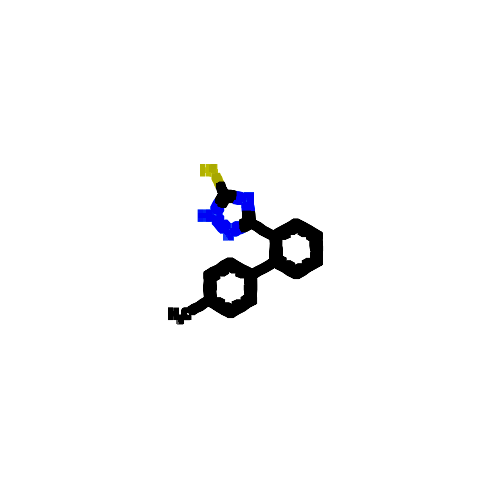 Cc1ccc(-c2ccccc2-c2n[nH]c(S)n2)cc1